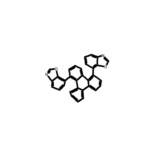 c1cc(-c2cccc3c2c2ccccc2c2cccc(-c4cccc5ncoc45)c23)c2ocnc2c1